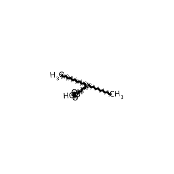 CCCCCCCCCCCN(CCCCCCCCCCC)CCCCOP(=O)(O)O